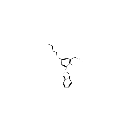 CCCCOc1cc(CN)c(O)c(-n2nc3ccccc3n2)c1